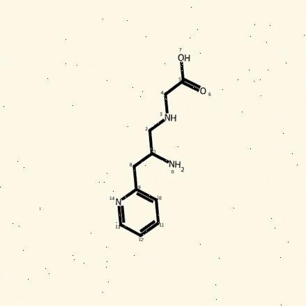 NC(CNCC(=O)O)Cc1ccccn1